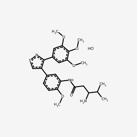 COc1ccc(-c2csnc2-c2cc(OC)c(OC)c(OC)c2)cc1NC(=O)CC(N)C(C)C.Cl